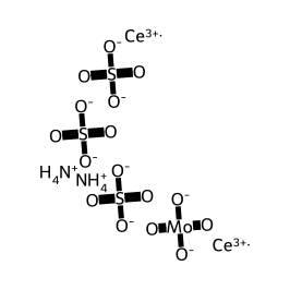 O=S(=O)([O-])[O-].O=S(=O)([O-])[O-].O=S(=O)([O-])[O-].[Ce+3].[Ce+3].[NH4+].[NH4+].[O]=[Mo](=[O])([O-])[O-]